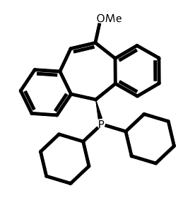 COC1=Cc2ccccc2[C@H](P(C2CCCCC2)C2CCCCC2)c2ccccc21